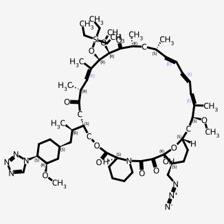 CC[Si](CC)(CC)O[C@@H]1/C(C)=C/[C@@H](C)C(=O)C[C@@H]([C@H](C)C[C@@H]2CC[C@H](n3cnnn3)[C@H](OC)C2)COC(=O)[C@@H]2CCCCN2C(=O)C(=O)[C@]2(O)O[C@@H](CC[C@H]2CN=[N+]=[N-])C[C@H](OC)/C(C)=C/C=C/C=C/[C@@H](C)C[C@@H](C)C(=O)[C@@H]1OC